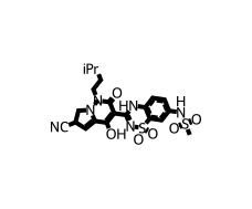 CC(C)CCN1C(=O)C(C2=NS(=O)(=O)c3cc(NS(C)(=O)=O)ccc3N2)=C(O)C2=CC(C#N)CN21